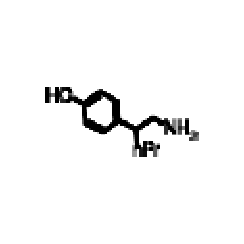 CCCC(CN)c1ccc(O)cc1